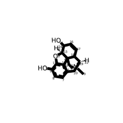 CN1CCC23c4c5ccc(O)c4O[C@H]2C(O)C=CC3[C@H]1C5